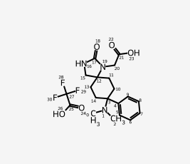 CN(C)C1(c2ccccc2)CCC2(CC1)CNC(=O)N2CC(=O)O.O=C(O)C(F)(F)F